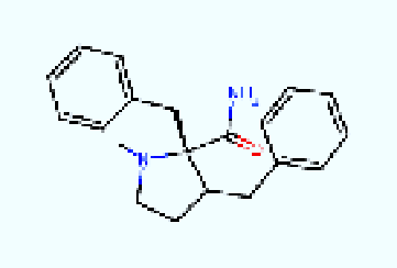 CN1CCC(Cc2ccccc2)[C@@]1(Cc1ccccc1)C(N)=O